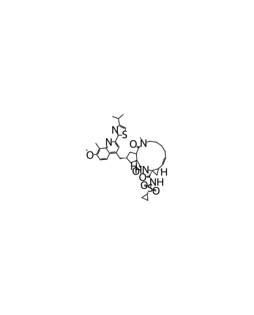 COc1ccc2c(C[C@H]3CC4C(=O)N(C)CCCC/C=C\[C@H]5C[C@]5(C(=O)NS(=O)(=O)C5CC5)NC(=O)[C@@H]4C3)cc(-c3nc(C(C)C)cs3)nc2c1C